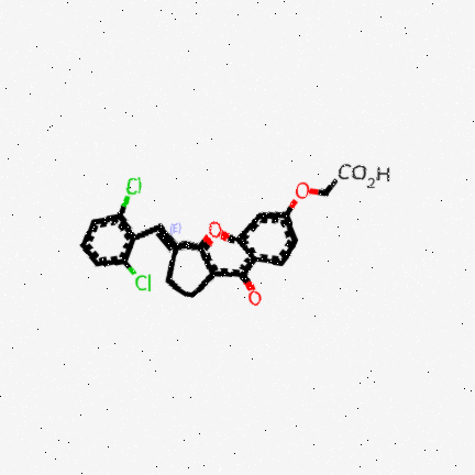 O=C(O)COc1ccc2c(=O)c3c(oc2c1)/C(=C/c1c(Cl)cccc1Cl)CC3